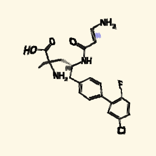 CC(N)(C[C@@H](Cc1ccc(-c2cc(Cl)ccc2F)cc1)NC(=O)/C=C/N)C(=O)O